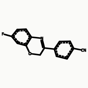 N#Cc1ccc(C2=Nc3ccc(F)cc3OC2)cc1